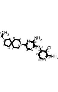 C=C[C@H]1CCC2(CCN(c3cnc(Sc4ccnc(N)c4Cl)c(N)n3)CC2)C1